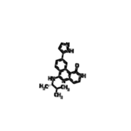 CC(C)[C@H](C)Nc1nc2cc[nH]c(=O)c2c2cc(-c3ccn[nH]3)ccc12